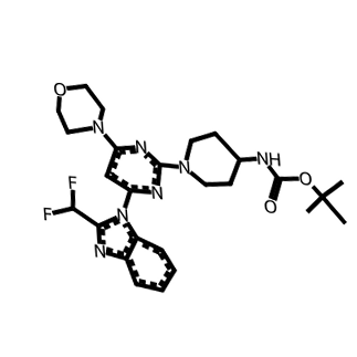 CC(C)(C)OC(=O)NC1CCN(c2nc(N3CCOCC3)cc(-n3c(C(F)F)nc4ccccc43)n2)CC1